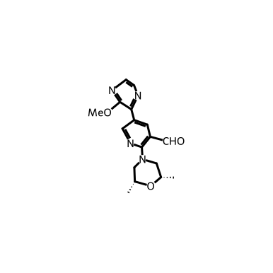 COc1nccnc1-c1cnc(N2C[C@@H](C)O[C@@H](C)C2)c(C=O)c1